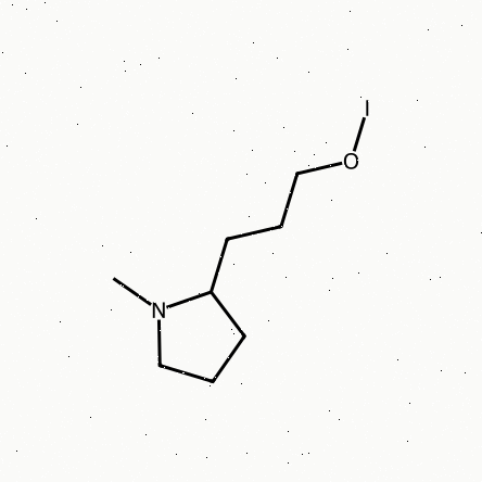 CN1CCCC1CCCOI